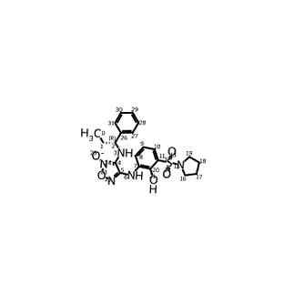 CC[C@@H](Nc1c(Nc2cccc(S(=O)(=O)N3CCCC3)c2O)no[n+]1[O-])c1ccccc1